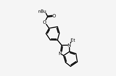 CCCCC(=O)Oc1ccc(-c2nc3ccccc3n2CC)cc1